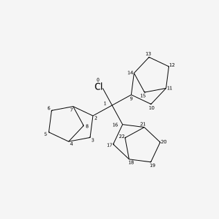 ClC(C1CC2CCC1C2)(C1CC2CCC1C2)C1CC2CCC1C2